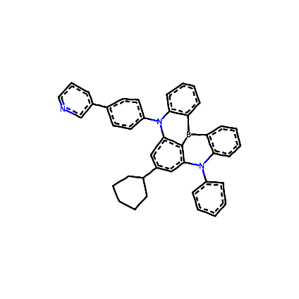 c1ccc(N2c3ccccc3B3c4ccccc4N(c4ccc(-c5cccnc5)cc4)c4cc(C5CCCCC5)cc2c43)cc1